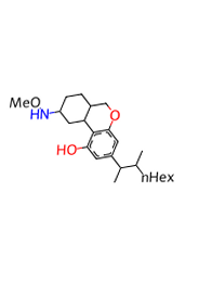 CCCCCCC(C)C(C)c1cc(O)c2c(c1)OCC1CCC(NOC)CC21